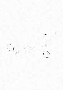 CSCCC(NC(C)=O)C(=O)N[C@@H](CCN1CC2CN(C(=O)c3c(F)cccc3Cl)CC2C1)c1ccccc1